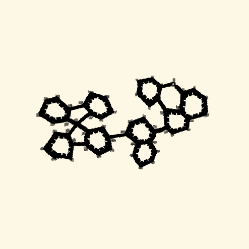 c1ccc2c(c1)Oc1cccc3ccc(-c4ccc(-c5ccc6c(c5)C5(c7ccccc7-c7ccccc75)c5ccccc5-6)c5ccccc45)c-2c13